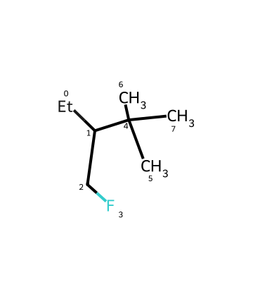 CCC(CF)C(C)(C)C